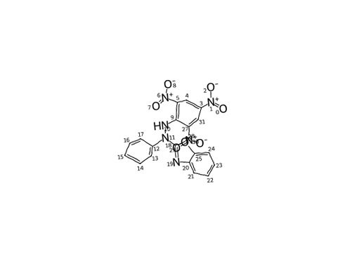 O=[N+]([O-])c1cc([N+](=O)[O-])c(NN(c2ccccc2)c2nc3ccccc3o2)c([N+](=O)[O-])c1